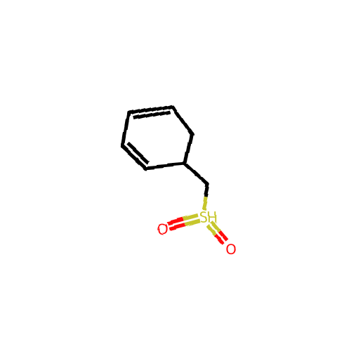 O=[SH](=O)CC1C=CC=CC1